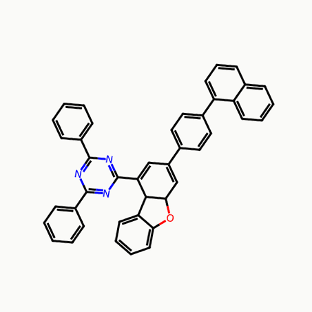 C1=C(c2ccc(-c3cccc4ccccc34)cc2)C=C(c2nc(-c3ccccc3)nc(-c3ccccc3)n2)C2c3ccccc3OC12